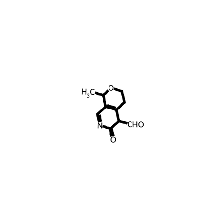 CC1OCCC2=C1C=NC(=O)C2C=O